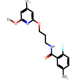 CCOc1cc(C(F)(F)F)cc(OCCCNC(=O)c2cc([N+](=O)[O-])ccc2F)n1